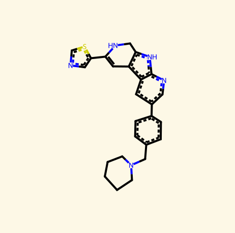 C1=C(c2cncs2)NCc2[nH]c3ncc(-c4ccc(CN5CCCCC5)cc4)cc3c21